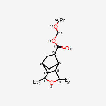 CCC1OC(CC)C2C3CC(CC3C(=O)OCOC(C)C)C12